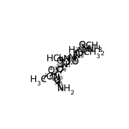 CCOC(=O)C(c1ccc(-n2ccc(NC(=O)N3CCN(C(=O)C(C)(C)N)CC3)nc2=O)cc1)N1CC2C(N)C2C1.Cl